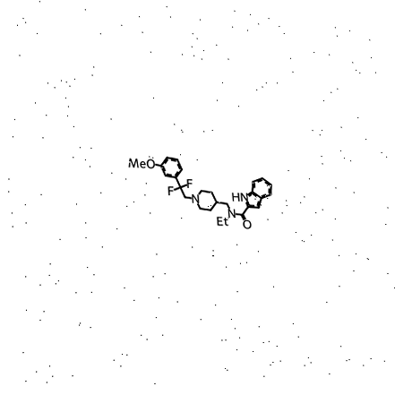 CCN(CC1CCN(CC(F)(F)c2cccc(OC)c2)CC1)C(=O)c1cc2ccccc2[nH]1